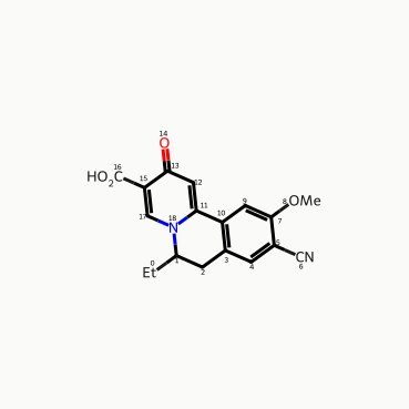 CCC1Cc2cc(C#N)c(OC)cc2-c2cc(=O)c(C(=O)O)cn21